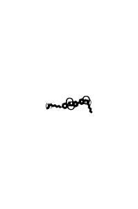 CCCCCC[C@@H](C)Oc1ccc(-c2ccc(OC(=O)[C@H]3CC[C@H](CCCCCC[C@@H](C)CC)CC3)cc2)cc1